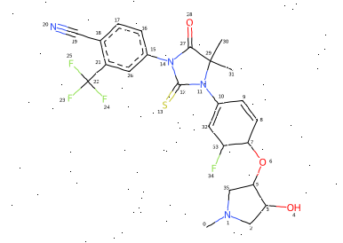 CN1CC(O)C(OC2C=CC(N3C(=S)N(c4ccc(C#N)c(C(F)(F)F)c4)C(=O)C3(C)C)=CC2F)C1